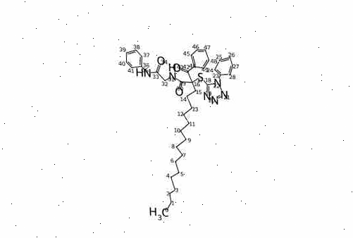 CCCCCCCCCCCCCCCCC(Sc1nnnn1-c1ccccc1)(C(=O)NCC(=O)Nc1ccccc1)C(=O)c1ccccc1